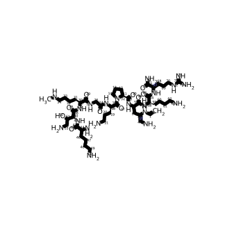 C=CN/C(=C\N)CC(NC(=O)[C@@H]1CCCN1C(=O)[C@@H](CCCN)NC(=O)CNC(=O)[C@H](CCCCNC)NC(=O)[C@H](NC(=O)C(N)CCCCN)C(O)CN)C(=O)N[C@@H](CCCCN)C(=O)N/C(=C\CCNC(=N)N)C(N)=O